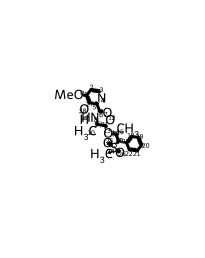 COc1ccnc(C(=O)N[C@@H](C)C(=O)O[C@@H](C)[C@@H](c2ccccc2)S(C)(=O)=O)c1O